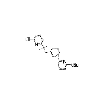 CC(C)(C)c1cccc(-c2cccc(CC(C)(C)c3cccc(Cl)n3)c2)n1